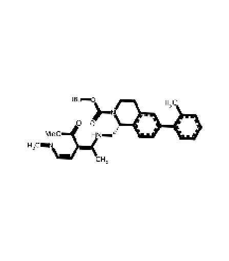 C=N/C=C\C(C(=O)OC)=C(/C)NC[C@H]1c2ccc(-c3ccccc3C)cc2CCN1C(=O)OC(C)(C)C